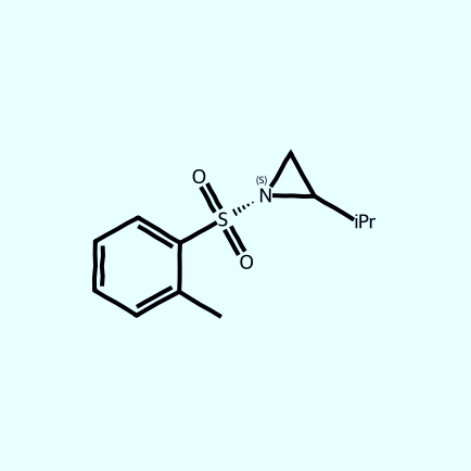 Cc1ccccc1S(=O)(=O)[N@]1CC1C(C)C